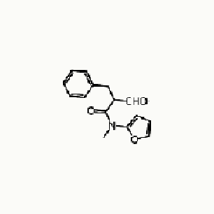 CN(C(=O)C([C]=O)Cc1ccccc1)c1ccco1